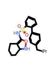 CC(C)Cc1ccc(-c2ccccc2S(=O)(=O)NC2=C3CCCCC3NO2)cc1